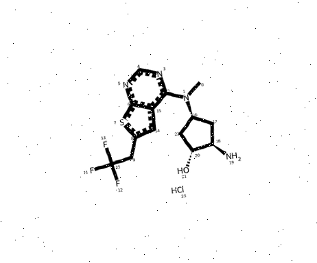 CN(c1ncnc2sc(CC(F)(F)F)cc12)[C@H]1C[C@@H](N)[C@H](O)C1.Cl